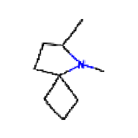 CC1CCC2(CCC2)N1C